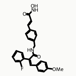 COc1ccc(/C=C(\C(=O)NCc2ccc(/C=C/C(=O)NO)cc2)c2ccccc2F)cc1